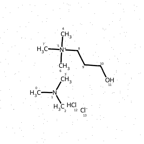 CN(C)C.C[N+](C)(C)CCCO.Cl.[Cl-]